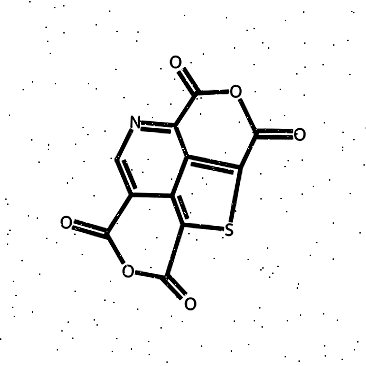 O=C1OC(=O)c2sc3c4c(ncc1c24)C(=O)OC3=O